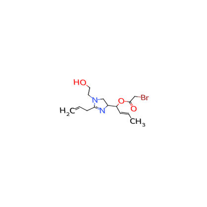 C=CCC1=NC(C(C=CC)OC(=O)CBr)CN1CCO